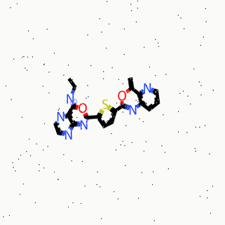 C=C1OC(c2ccc(-c3nc4nccnc4/c(=N/CC)o3)s2)=Nc2cccnc21